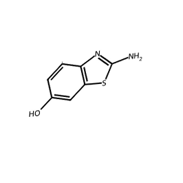 Nc1nc2[c]cc(O)cc2s1